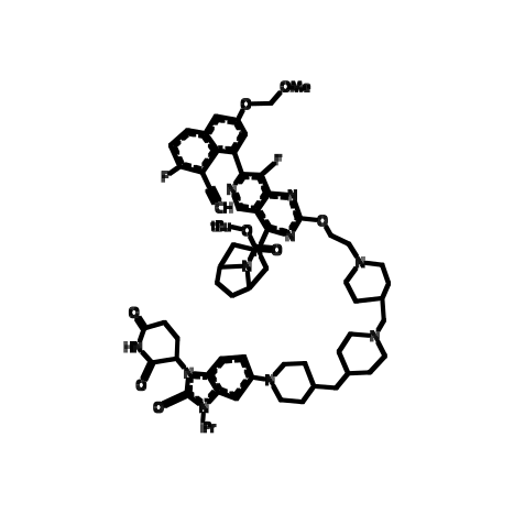 C#Cc1c(F)ccc2cc(OCOC)cc(-c3ncc4c(N5CC6CCC(C5)N6C(=O)OC(C)(C)C)nc(OCCN5CCC(CN6CCC(CC7CCN(c8ccc9c(c8)n(C(C)C)c(=O)n9C8CCC(=O)NC8=O)CC7)CC6)CC5)nc4c3F)c12